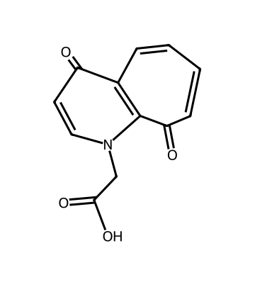 O=C(O)Cn1ccc(=O)c2ccccc(=O)c21